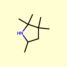 CC1CC(C)(C)C(C)(C)N1